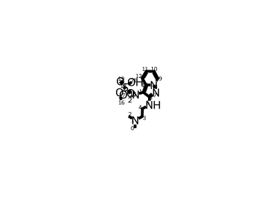 CN(C)CCNc1nn2ccccc2c1[N+](=O)[O-].COS(=O)(=O)O